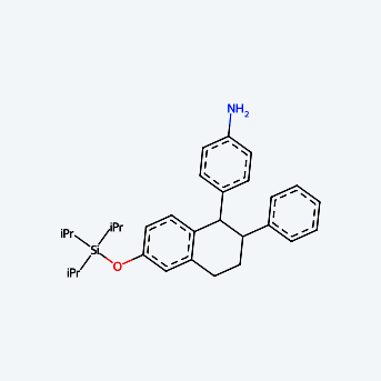 CC(C)[Si](Oc1ccc2c(c1)CCC(c1ccccc1)C2c1ccc(N)cc1)(C(C)C)C(C)C